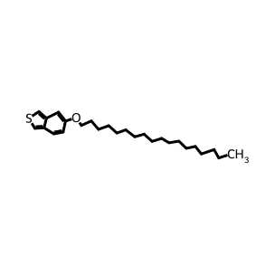 CCCCCCCCCCCCCCCCCCOc1ccc2cscc2c1